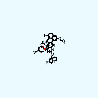 COCOc1cc(-c2ccc3c(N4CCCC(C#N)CC4)nc(OC[C@@]45CCCN4C[C@H](F)C5)nc3c2F)c2c(C#C[Si](C(C)C)(C(C)C)C(C)C)c(F)ccc2c1